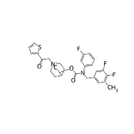 Cc1cc(CN(C(=O)OC2C[N+]3(CC(=O)c4cccs4)CCC2CC3)c2cccc(F)c2)cc(F)c1F